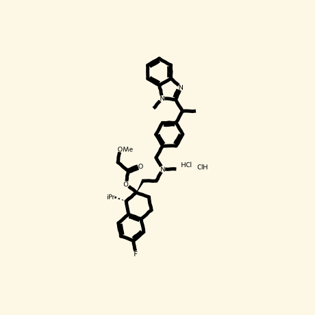 COCC(=O)O[C@]1(CCN(C)Cc2ccc(C(C)c3nc4ccccc4n3C)cc2)CCc2cc(F)ccc2[C@@H]1C(C)C.Cl.Cl